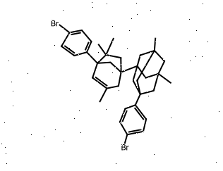 CC1=CC2(c3ccc(Br)cc3)CC(C34CC5(C)CC(C)(CC(c6ccc(Br)cc6)(C5)C3)C4)(C1)CC2(C)C